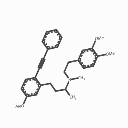 COc1ccc(C#Cc2ccccc2)c(CCC(C)N(C)CCc2ccc(OC)c(OC)c2)c1